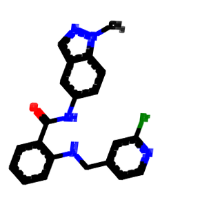 Cn1ncc2cc(NC(=O)c3ccccc3NCc3ccnc(Br)c3)ccc21